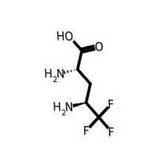 N[C@@H](C[C@H](N)C(F)(F)F)C(=O)O